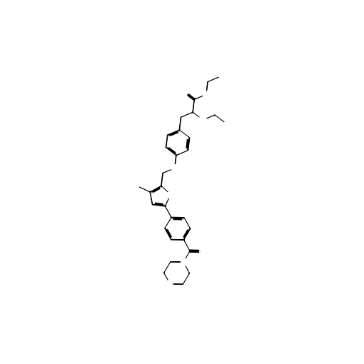 CCOC(=O)C(Cc1ccc(OCc2sc(-c3ccc(C(=O)N4CCOCC4)cc3)cc2C)cc1)OCC